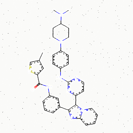 Cc1csc(C(=O)Nc2cccc(-c3nc4ccccn4c3-c3ccnc(Nc4ccc(N5CCC(N(C)C)CC5)cc4)n3)c2)c1